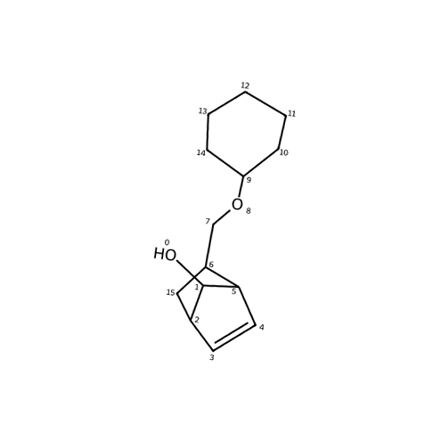 OC1C2C=CC1C(COC1CCCCC1)C2